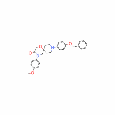 COc1ccc(N2CC3(CCN(c4ccc(OCc5ccccc5)cc4)CC3)OCC2=O)cc1